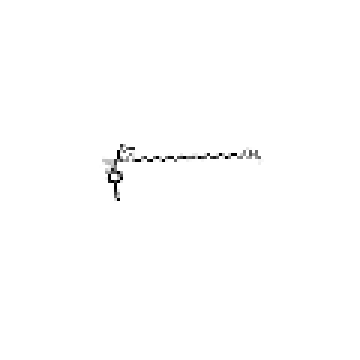 CCCCCCCCCCCCCCCCCCOC[C@H](CO)Nc1ccc(C#N)cn1